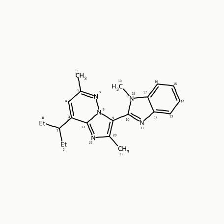 CCC(CC)c1cc(C)nn2c(-c3nc4ccccc4n3C)c(C)nc12